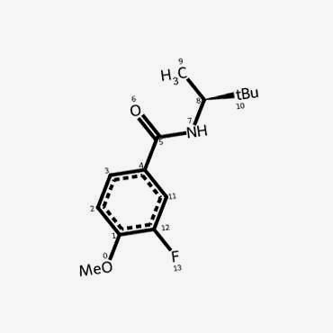 COc1ccc(C(=O)N[C@@H](C)C(C)(C)C)cc1F